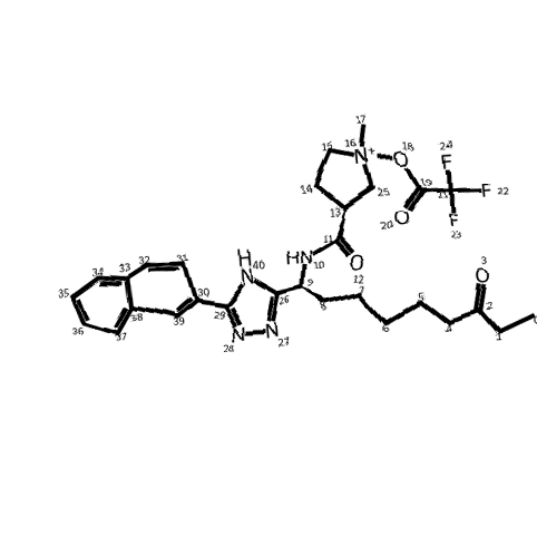 CCC(=O)CCCCC[C@H](NC(=O)[C@H]1CC[N+](C)(OC(=O)C(F)(F)F)C1)c1nnc(-c2ccc3ccccc3c2)[nH]1